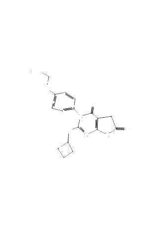 O=C1Cc2c(nc(OC3CCC3)n(-c3ccc(OCC(F)(F)F)cc3)c2=O)N1